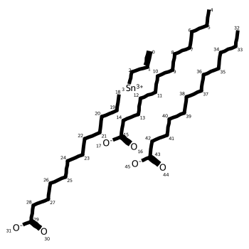 C=C[CH2][Sn+3].CCCCCCCCCCCC(=O)[O-].CCCCCCCCCCCC(=O)[O-].CCCCCCCCCCCC(=O)[O-]